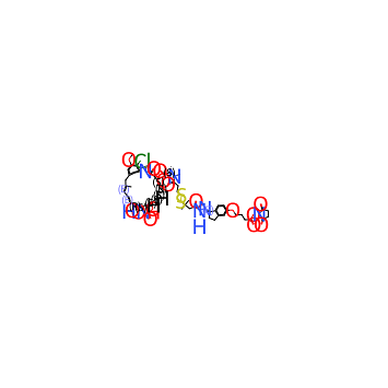 COc1cc2cc(c1Cl)N(C)C(=O)C[C@H](OC(=O)[C@H](C)N(C)C(=O)CCSSC(C)(C)CC(=O)N/N=C1\CCc3cc(OCCCC(=O)ON4C(=O)CCC4=O)ccc31)[C@@]1(C)C[C@H]1[C@H](C)[C@@H]1C[C@@](O)(NC(=O)O1)[C@H](OC)/C=C/C=C(\C)C2